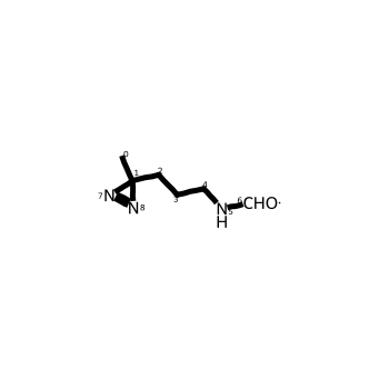 CC1(CCCN[C]=O)N=N1